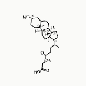 CC(CCC(=O)NCC(=O)O)[C@H]1CC[C@H]2[C@@H]3CC=C4C[C@@H](O)CC[C@]4(C)[C@H]3CC[C@]12C